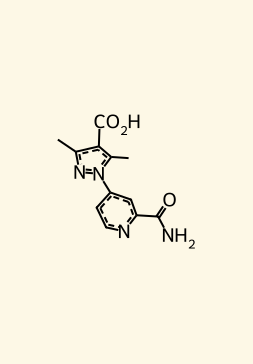 Cc1nn(-c2ccnc(C(N)=O)c2)c(C)c1C(=O)O